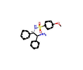 COc1ccc(S(=O)(=O)N[C@@H](c2ccccc2)C(N)c2ccccc2)cc1